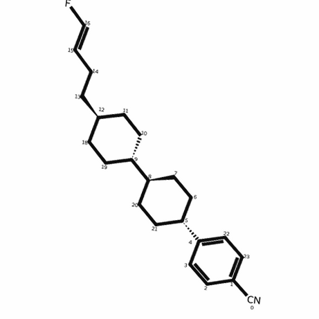 N#Cc1ccc([C@H]2CC[C@H]([C@H]3CC[C@H](CCC=CF)CC3)CC2)cc1